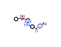 CC(=O)N1CCN(C(=O)c2ccc(Nc3nccc(-c4cc(-c5ccccc5)no4)n3)cc2)CC1